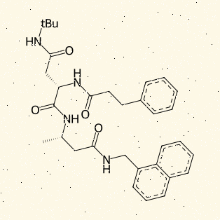 C[C@@H](CC(=O)NCc1cccc2ccccc12)NC(=O)[C@H](CC(=O)NC(C)(C)C)NC(=O)CCc1ccccc1